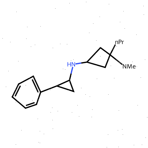 CCCC1(NC)CC(NC2CC2c2ccccc2)C1